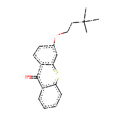 CC(C)(C)CCOc1ccc2c(=O)c3ccccc3sc2c1